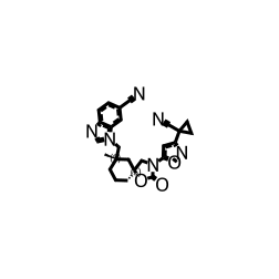 C[C@]1(Cn2cnc3ccc(C#N)cc32)CCC[C@@]2(CN(c3cc(C4(C#N)CC4)no3)C(=O)O2)C1